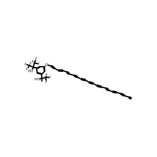 C#CC#CC#CC#CC#CC#CC#CC#CC#CC#CC#COc1cc(C(C)(O)C(F)(F)F)cc(C(O)(C(F)(F)F)C(F)(F)F)c1